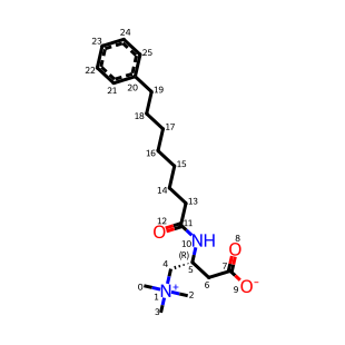 C[N+](C)(C)C[C@@H](CC(=O)[O-])NC(=O)CCCCCCCc1ccccc1